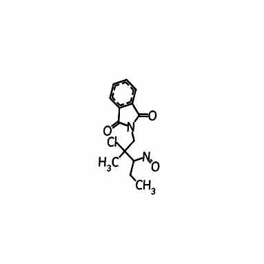 CCC(N=O)C(C)(Cl)CN1C(=O)c2ccccc2C1=O